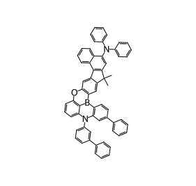 CC1(C)c2cc3c(cc2-c2c1cc(N(c1ccccc1)c1ccccc1)c1ccccc21)Oc1cccc2c1B3c1ccc(-c3ccccc3)cc1N2c1cccc(-c2ccccc2)c1